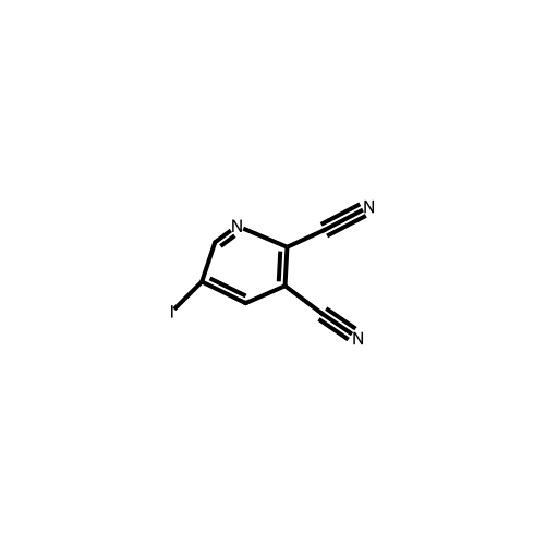 N#Cc1cc(I)cnc1C#N